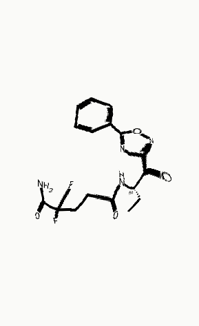 CC[C@H](NC(=O)[CH]CC(F)(F)C(N)=O)C(=O)c1noc(-c2ccccc2)n1